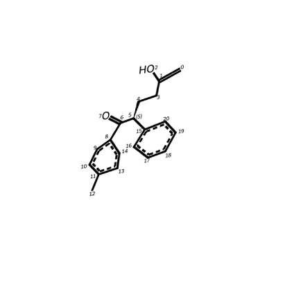 C=C(O)CC[C@H](C(=O)c1ccc(C)cc1)c1ccccc1